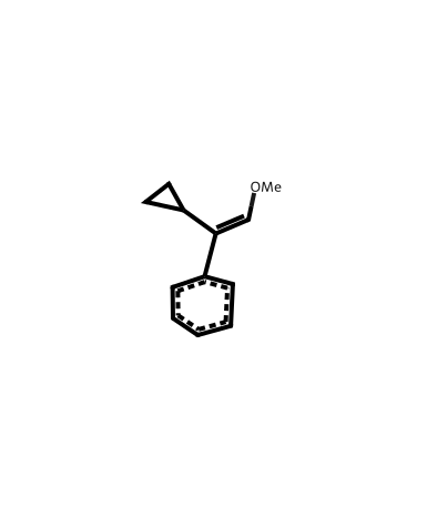 COC=C(c1ccccc1)C1CC1